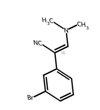 CN(C)/C=C(\C#N)c1cccc(Br)c1